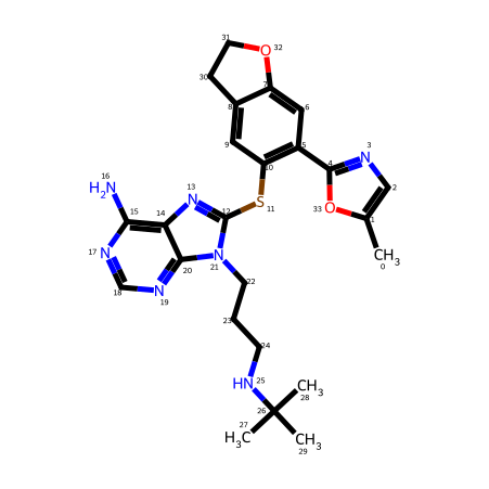 Cc1cnc(-c2cc3c(cc2Sc2nc4c(N)ncnc4n2CCCNC(C)(C)C)CCO3)o1